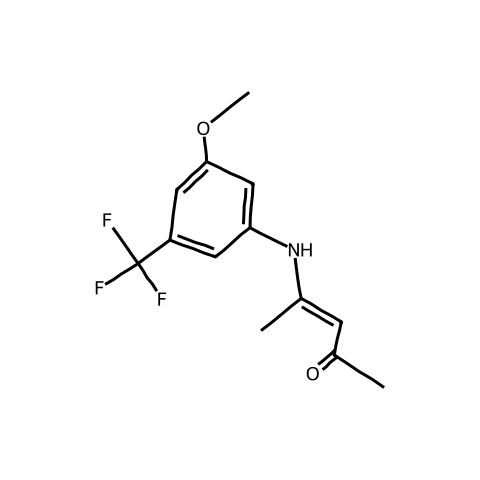 COc1cc(N/C(C)=C/C(C)=O)cc(C(F)(F)F)c1